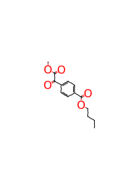 CCCCOC(=O)c1ccc(C(=O)C(=O)OC)cc1